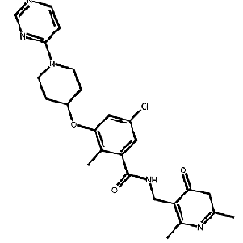 CC1=NC(C)=C(CNC(=O)c2cc(Cl)cc(OC3CCN(c4ccncn4)CC3)c2C)C(=O)C1